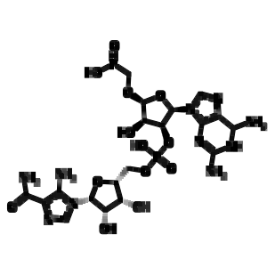 NC(=O)c1ncn([C@@H]2O[C@H](COP(=O)(O)O[C@H]3[C@@H](O)[C@@H](OC[PH](=O)O)O[C@H]3n3cnc4c3N=C(N)NC4N)[C@H](O)[C@@H]2O)c1N